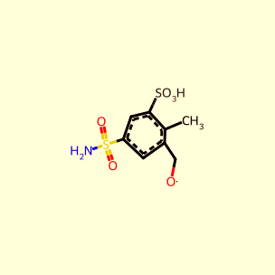 Cc1c(C[O])cc(S(N)(=O)=O)cc1S(=O)(=O)O